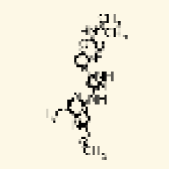 COCc1cn2c(Nc3cc([C@@H]4CC[C@H](OC(=O)NC(C)C)[C@@H]4F)[nH]n3)ncc(C)c2n1